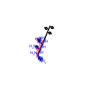 Cc1ccc(C(C)CCC(CCC(CCCCCCCCCNC(=O)CN(CCNC(=O)CN(CCNC(=O)CN(CCN)C(=O)Cn2cnc3c(N)ncnc32)C(=O)Cn2ccc(N)nc2=O)C(=O)Cn2cnc3c(=O)[nH]c(N)nc32)c2ccc(C)cc2)c2ccc(C)cc2)cc1